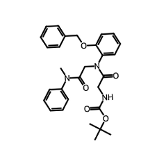 CN(C(=O)CN(C(=O)CNC(=O)OC(C)(C)C)c1ccccc1OCc1ccccc1)c1ccccc1